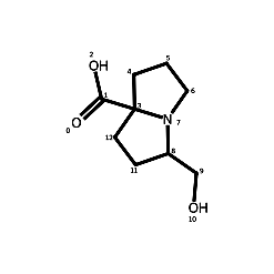 O=C(O)C12CCCN1C(CO)CC2